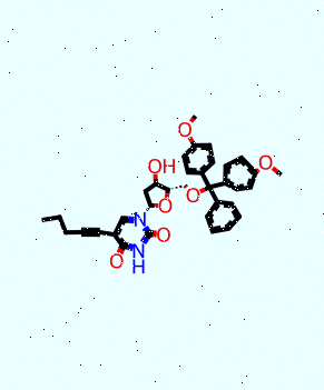 CCCC#Cc1cn([C@@H]2CC(O)[C@H](COC(c3ccccc3)(c3ccc(OC)cc3)c3ccc(OC)cc3)O2)c(=O)[nH]c1=O